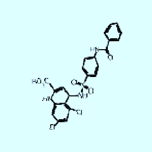 O=C(O)C1=CC(NS(=O)(=O)c2ccc(NC(=O)c3ccccc3)cc2)c2c(Cl)cc(Cl)cc2N1